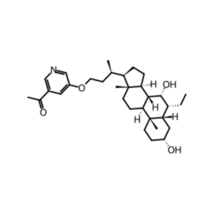 CC[C@H]1[C@@H](O)[C@@H]2[C@H](CC[C@]3(C)[C@@H]([C@H](C)CCOc4cncc(C(C)=O)c4)CC[C@@H]23)[C@@]2(C)CC[C@@H](O)C[C@@H]12